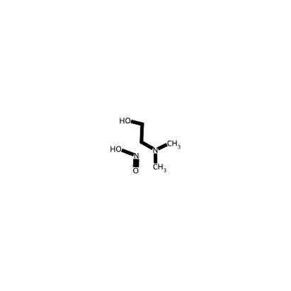 CN(C)CCO.O=NO